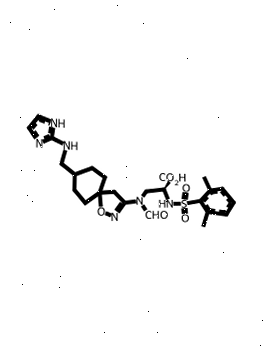 Cc1cccc(C)c1S(=O)(=O)N[C@@H](CN(C=O)C1=NOC2(CCC(CNc3ncc[nH]3)CC2)C1)C(=O)O